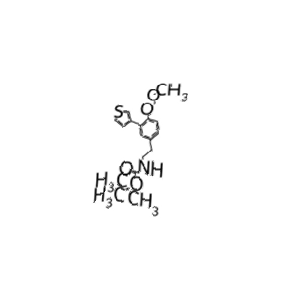 COCOc1ccc(CCNC(=O)OC(C)(C)C)cc1-c1ccsc1